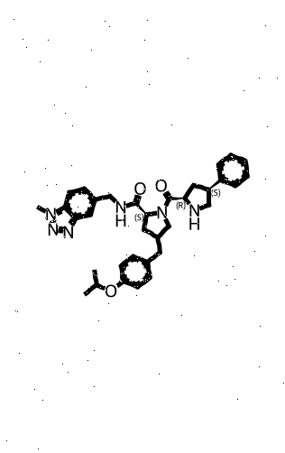 CC(C)Oc1ccc(CC2C[C@@H](C(=O)NCc3ccc4c(c3)nnn4C)N(C(=O)[C@H]3C[C@@H](c4ccccc4)CN3)C2)cc1